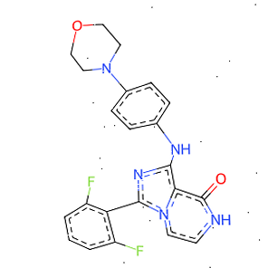 O=c1[nH]ccn2c(-c3c(F)cccc3F)nc(Nc3ccc(N4CCOCC4)cc3)c12